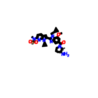 COc1cc(C(=O)N2CCC[C@@H](N)[C@H]2C)cc2nc(-c3cc4ccc(N(C)S(C)(=O)=O)nc4n3C3CC3)n(CC3CC3)c12